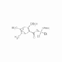 CCCCCC(CC)(CC)OC(=O)C1=C(C(=O)O)C2CC1C(C)=C2C